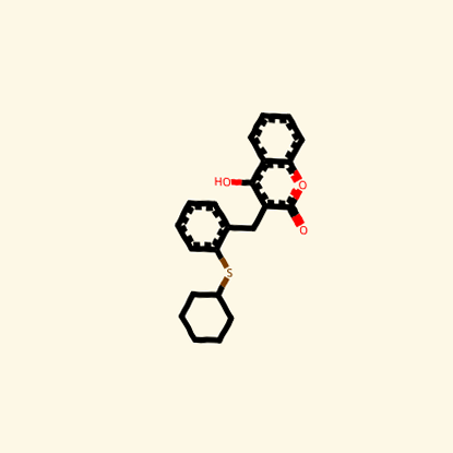 O=c1oc2ccccc2c(O)c1Cc1ccccc1SC1CCCCC1